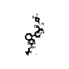 CC1(CNc2ncc3c(n2)CCCC=C3c2ccn3ncc(C(=O)NC4CC(F)(F)C4)c3c2)CC1